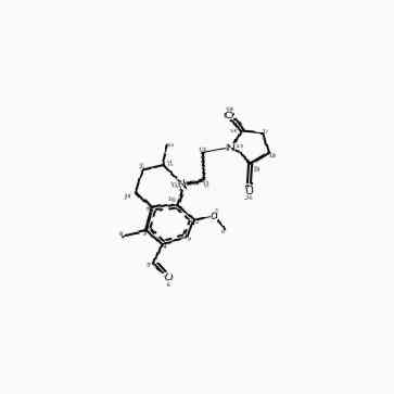 COc1cc(C=O)c(C)c2c1N(CCN1C(=O)CCC1=O)C(C)CC2